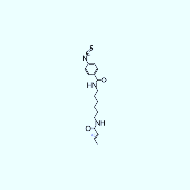 C/C=C/C(=O)NCCCCCCNC(=O)c1ccc(N=C=S)cc1